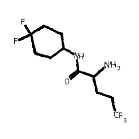 NC(CCC(F)(F)F)C(=O)NC1CCC(F)(F)CC1